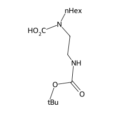 CCCCCCN(CCNC(=O)OC(C)(C)C)C(=O)O